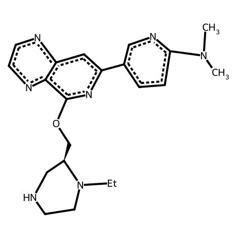 CCN1CCNC[C@H]1COc1nc(-c2ccc(N(C)C)nc2)cc2nccnc12